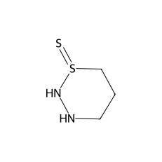 S=S1CCCNN1